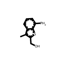 Cc1c(CO)sc2c(P)cccc12